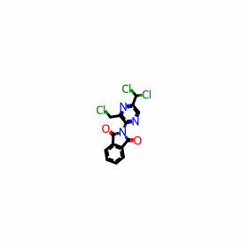 O=C1c2ccccc2C(=O)N1c1ncc(C(Cl)Cl)nc1CCl